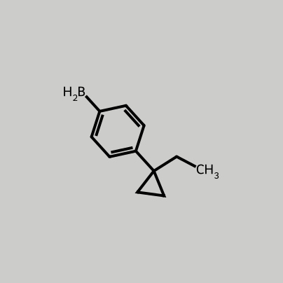 Bc1ccc(C2(CC)CC2)cc1